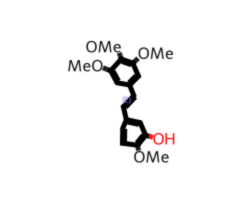 COc1ccc(/C=C/c2cc(OC)c(OC)c(OC)c2)cc1O